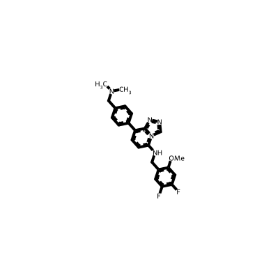 COc1cc(F)c(F)cc1CNc1ccc(-c2ccc(CN(C)C)cc2)c2nncn12